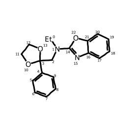 CCN(CC1(c2ccccc2)OCCO1)c1nc2ccccc2o1